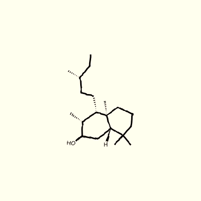 CC[C@@H](C)CC[C@H]1[C@@H](C)C(O)C[C@H]2C(C)(C)CCC[C@]12C